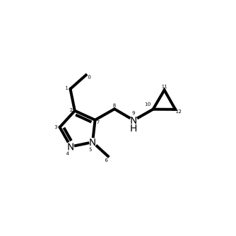 CCc1cnn(C)c1CNC1CC1